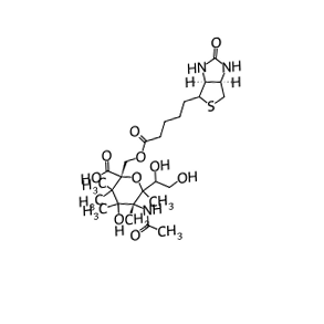 CC(=O)N[C@@]1(C)C(C)(C(O)CO)O[C@@](COC(=O)CCCCC2SC[C@@H]3NC(=O)N[C@H]23)(C(=O)O)C(C)(C)C1(C)O